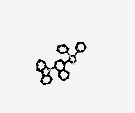 c1ccc(-c2nnc(-c3ccc(-n4c5ccccc5c5ccccc54)c4ccccc34)n2-c2ccccc2)cc1